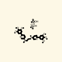 COc1cc(-c2ccc(N(C)CCCN(C)c3ccc(-c4cc(OC)c(OC)c(OC)c4)nc3)cn2)cc(OC)c1OC.CS(=O)(=O)O.CS(=O)(=O)O